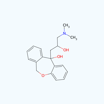 CN(C)CC(O)CC1(O)c2ccccc2COc2ccccc21